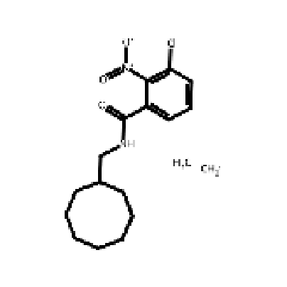 O=C(NC[C]1CCCCCCC1)c1cccc(Cl)c1[N+](=O)[O-].[CH2].[CH2]